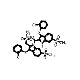 CS(=O)(=O)Cc1c(Sc2ccccc2Cl)c2ccc(S(C)(=O)=O)cc2n1C(O)c1[nH]c2cc(S(C)(=O)=O)ccc2c1Sc1ccccc1Cl